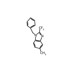 Cc1ccc2c(c1)nc(C(F)(F)F)n2Cc1ccccc1